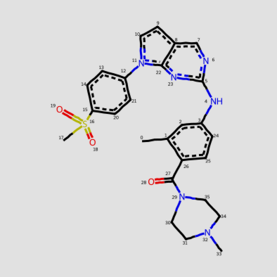 Cc1cc(Nc2ncc3ccn(-c4ccc(S(C)(=O)=O)cc4)c3n2)ccc1C(=O)N1CCN(C)CC1